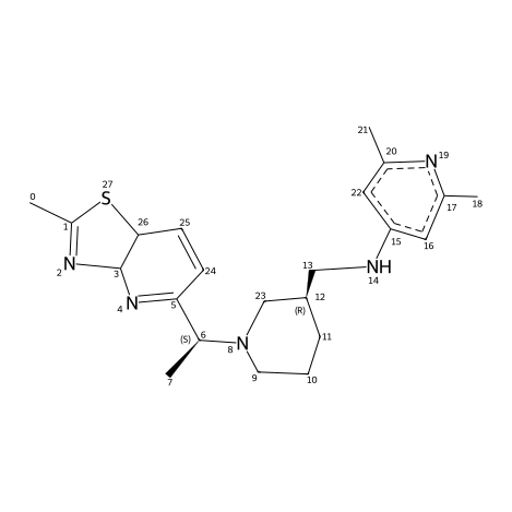 CC1=NC2N=C([C@H](C)N3CCC[C@H](CNc4cc(C)nc(C)c4)C3)C=CC2S1